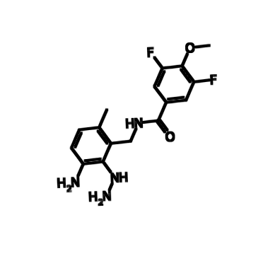 COc1c(F)cc(C(=O)NCc2c(C)ccc(N)c2NN)cc1F